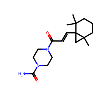 CC1(C)CCCC2(C)CC12/C=C/C(=O)N1CCN(C(N)=O)CC1